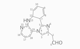 O=CCc1cn2c(n1)C1C=CC=CC1Nc1ncccc1-2